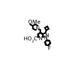 COCC1CCN(Cc2cc(C(=O)O)nc3c2c(C2CCC2)nn3-c2ccc(F)cc2)CC1